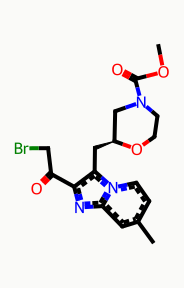 COC(=O)N1CCO[C@@H](Cc2c(C(=O)CBr)nc3cc(C)ccn23)C1